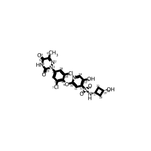 Cc1nn(-c2cc(Cl)c(Oc3cc(S(=O)(=O)N[C@H]4C[C@@H](O)C4)c(O)cn3)c(Cl)c2)c(=O)[nH]c1=O